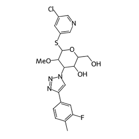 COC1C(Sc2cncc(Cl)c2)OC(CO)C(O)C1n1cc(-c2ccc(C)c(F)c2)nn1